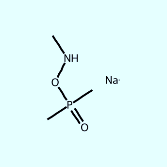 CNOP(C)(C)=O.[Na]